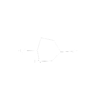 CC1CCC(C(C)C)CN1